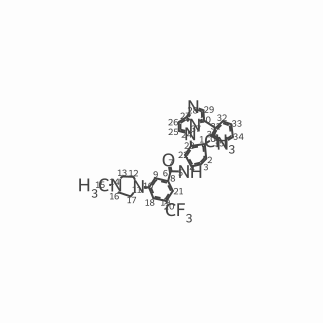 Cc1ccc(NC(=O)c2cc(N3CCN(C)CC3)cc(C(F)(F)F)c2)cc1-n1ccc2ncc(-c3cccnc3)n21